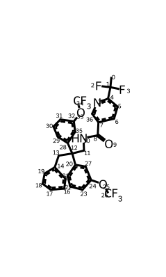 CC(F)(F)c1ccc(C(=O)NCC(Cc2ccccc2)(c2cccc(OC(F)(F)F)c2)c2cccc(OC(F)(F)F)c2)cn1